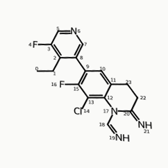 CCc1c(F)cncc1-c1cc2c(c(Cl)c1F)N(C=N)C(=N)CC2